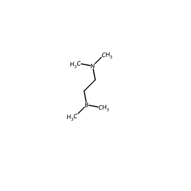 CB(C)CCN(C)C